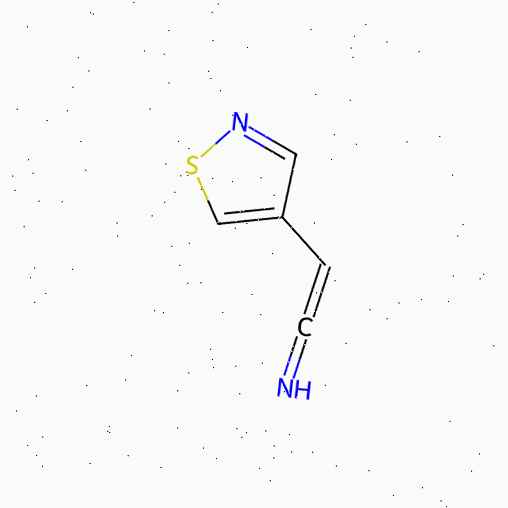 N=C=Cc1cnsc1